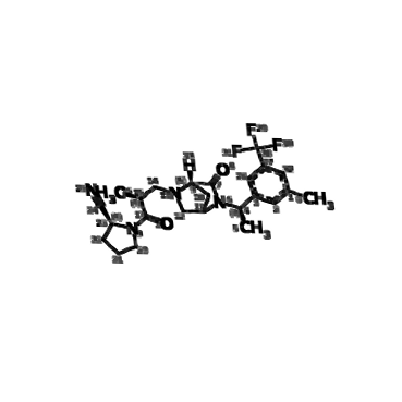 Cc1cc([C@@H](C)N2C(=O)[C@@H]3CC2CN3C[C@H](C)C(=O)N2CCC[C@H]2C#N)cc(C(F)(F)F)c1